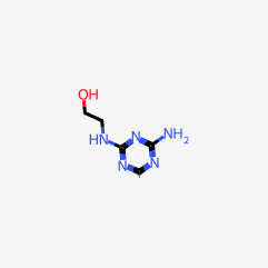 Nc1n[c]nc(NCCO)n1